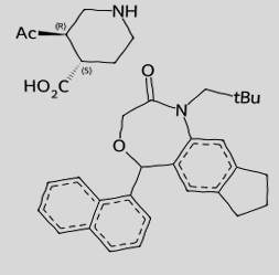 CC(=O)[C@H]1CNCC[C@@H]1C(=O)O.CC(C)(C)CN1C(=O)COC(c2cccc3ccccc23)c2cc3c(cc21)CCC3